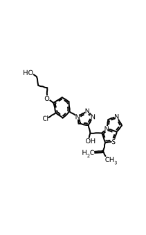 C=C(C)c1sc2cncn2c1C(O)c1cn(-c2ccc(OCCCO)c(Cl)c2)nn1